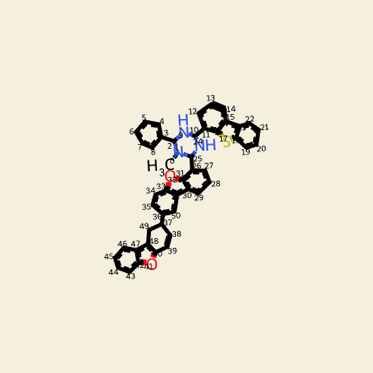 CN1C(c2ccccc2)NC(c2cc#cc3c2sc2ccccc23)NC1c1cccc2c1oc1ccc(C3C=Cc4oc5ccccc5c4C3)cc12